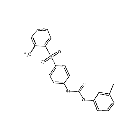 Cc1cccc(OC(=O)Nc2ccc(S(=O)(=O)c3ccccc3C(F)(F)F)cc2)c1